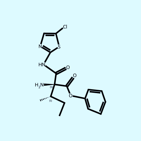 CC[C@H](C)[C@](N)(C(=O)Nc1ncc(Cl)s1)C(=O)Oc1ccccc1